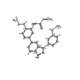 C=CC(=O)Nc1cc(-c2cnc3[nH]cc(-c4ccnc(OC)c4)c3c2)cnc1OCC